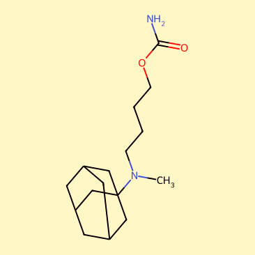 CN(CCCCOC(N)=O)C12CC3CC(CC(C3)C1)C2